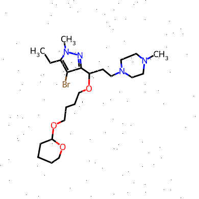 CCc1c(Br)c(C(CCN2CCN(C)CC2)OCCCCOC2CCCCO2)nn1C